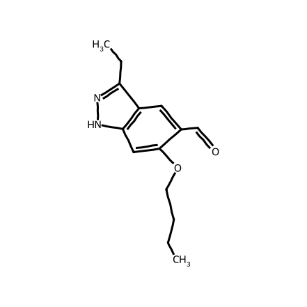 CCCCOc1cc2[nH]nc(CC)c2cc1C=O